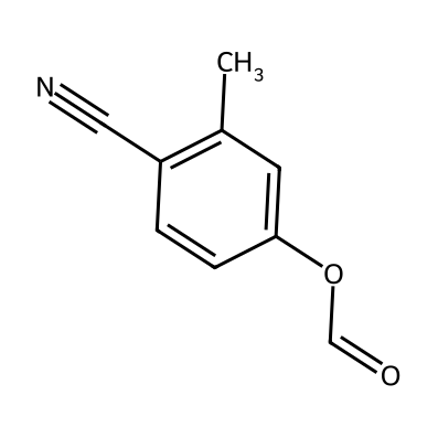 Cc1cc(OC=O)ccc1C#N